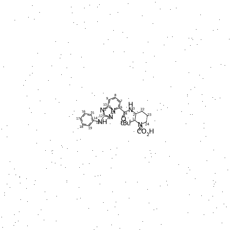 CC(C)(C)C1C(NC(=O)c2cccc3nc(Nc4ccccc4)nn23)CCCN1C(=O)O